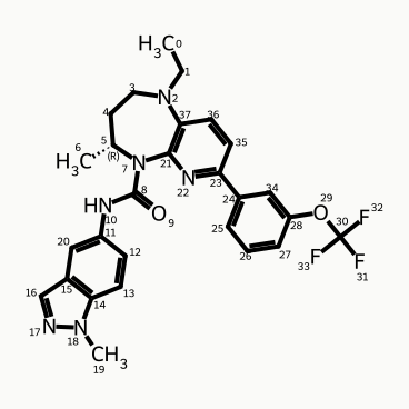 CCN1CC[C@@H](C)N(C(=O)Nc2ccc3c(cnn3C)c2)c2nc(-c3cccc(OC(F)(F)F)c3)ccc21